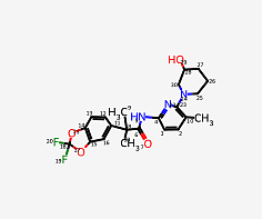 Cc1ccc(NC(=O)C(C)(C)c2ccc3c(c2)OC(F)(F)O3)nc1N1CCCC(O)C1